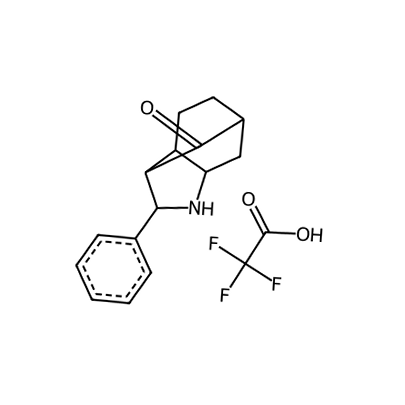 O=C(O)C(F)(F)F.O=C1C2CCC3C(C2)NC(c2ccccc2)C13